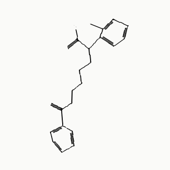 NC(=O)C(CCCCCC(=O)c1ccccc1)c1ccccc1O